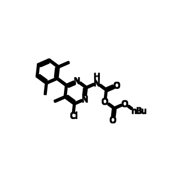 CCCCOC(=O)OC(=O)Nc1nc(Cl)c(C)c(-c2c(C)cccc2C)n1